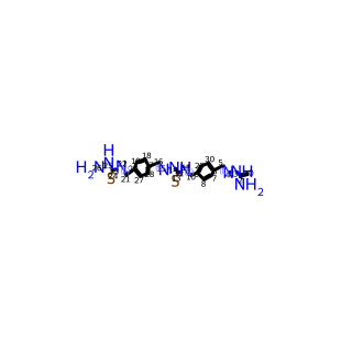 C=C(N)N/N=C/c1ccc(/C=N/C(=S)N/N=C/c2ccc(/C=N/C(=S)NN)cc2)cc1